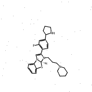 Fc1cc(C2CCCN2)ccc1C1=CN2c3ccccc3S[C@@H]2N1CCCN1CCCCC1